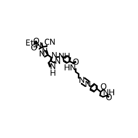 CCS(=O)(=O)N1CC(CC#N)(n2cc(-c3nc(Nc4ccc(C(=O)NCCCCN5CCN(c6ccc(C7CCC(=O)NC7=O)cc6)CC5)cc4)nc4[nH]ccc34)cn2)C1